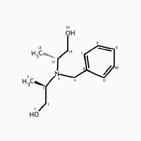 C[C@H](CO)N(Cc1ccccc1)[C@H](C)CO